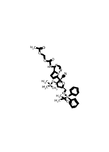 CC(=O)OCOC(=O)Nc1ncnn2c([C@]3(C#N)O[C@@H](CO[Si](c4ccccc4)(c4ccccc4)C(C)(C)C)[CH][C@H]3O[Si](C)(C)C)ccc12